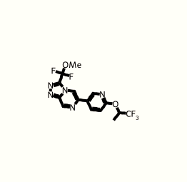 COC(F)(F)c1nnc2cnc(-c3ccc(OC(C)C(F)(F)F)nc3)cn12